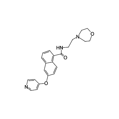 O=C(NCCN1CCOCC1)c1cccc2cc(Oc3ccncc3)ccc12